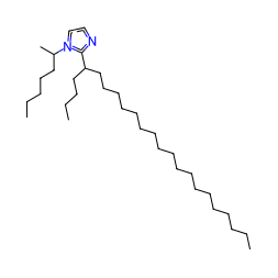 CCCCCCCCCCCCCCCCCCC(CCCC)c1nccn1C(C)CCCCC